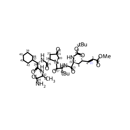 COC(=O)/C=C/CC[C@H](NC(=O)OC(C)(C)C)C(=O)N[C@H](C(=O)N1CC(=O)C[C@H]1C(=O)N[C@H](C(=O)N[C@@H](C)C(N)=O)C1CCCCC1)C(C)(C)C